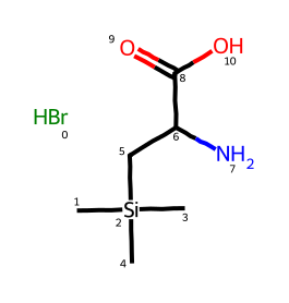 Br.C[Si](C)(C)CC(N)C(=O)O